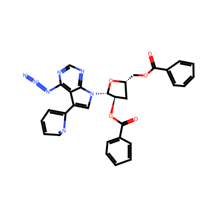 [N-]=[N+]=Nc1ncnc2c1c(-c1ccccn1)cn2[C@@H]1O[C@H](COC(=O)c2ccccc2)C[C@H]1OC(=O)c1ccccc1